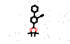 C#Cc1cc(C2OC(C)(C)C(C)(C)O2)ccc1-c1ccccc1